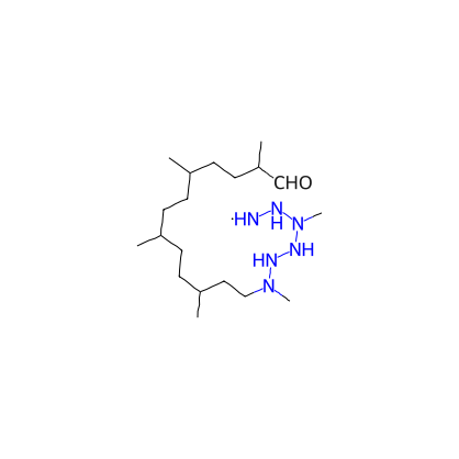 CC(C=O)CCC(C)CCC(C)CCC(C)CCN(C)NNN(C)N[NH]